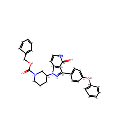 O=C(OCc1ccccc1)N1CCCC(n2nc(-c3ccc(Oc4ccccc4)cc3)c3c(=O)[nH]ccc32)C1